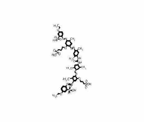 CCOc1ccc(N=Nc2cc(OCCCS(=O)(=O)O)c(N=Nc3cc(C)c(NC(=O)Nc4cc(C)c(N=Nc5cc(C)c(N=Nc6ccc(OCC)cc6S(=O)(=O)O)cc5OCCCS(=O)(=O)O)cc4C)cc3C)cc2C)c(S(=O)(=O)O)c1